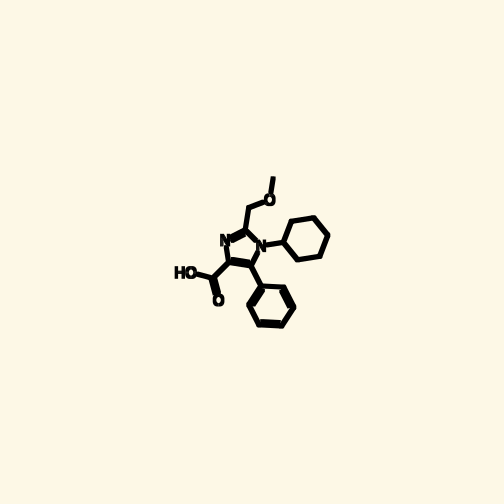 COCc1nc(C(=O)O)c(-c2ccccc2)n1C1CCCCC1